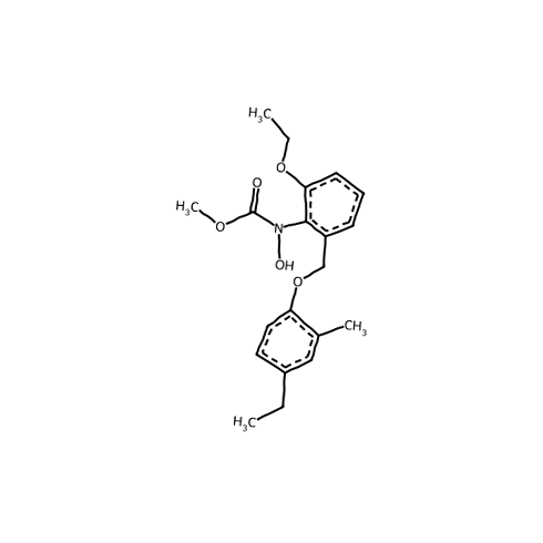 CCOc1cccc(COc2ccc(CC)cc2C)c1N(O)C(=O)OC